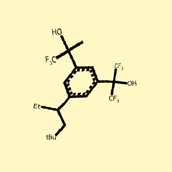 CCC(CC(C)(C)C)c1cc(C(C)(O)C(F)(F)F)cc(C(O)(C(F)(F)F)C(F)(F)F)c1